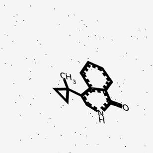 CC1(c2c[nH]c(=O)c3ccccc23)CC1